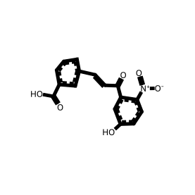 O=C(O)c1cccc(C=CC(=O)c2cc(O)ccc2[N+](=O)[O-])c1